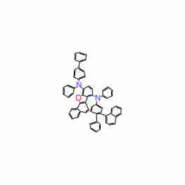 c1ccc(-c2ccc(N(c3ccccc3)c3ccc(N(c4ccccc4)c4ccc(-c5ccccc5)c(-c5cccc6ccccc56)c4)c4c3oc3c5ccccc5ccc34)cc2)cc1